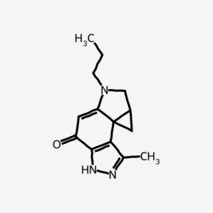 CCCN1CC2CC23C1=CC(=O)c1[nH]nc(C)c13